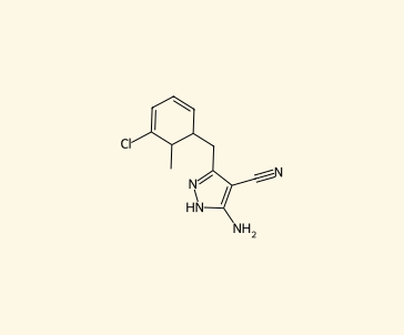 CC1C(Cl)=CC=CC1Cc1n[nH]c(N)c1C#N